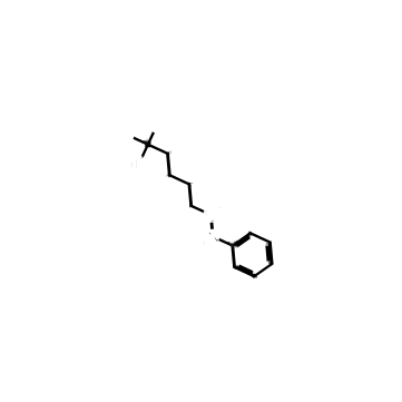 FC(F)(F)CCCCO[N]c1ccccc1